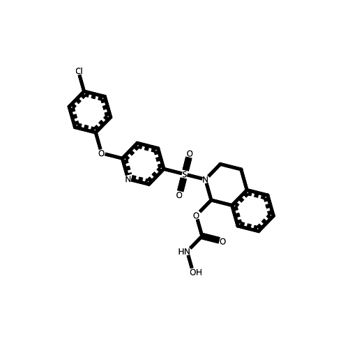 O=C(NO)OC1c2ccccc2CCN1S(=O)(=O)c1ccc(Oc2ccc(Cl)cc2)nc1